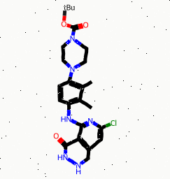 Cc1c(Nc2nc(Cl)cc3c2C(=O)NNC3)ccc(N2CCN(C(=O)OC(C)(C)C)CC2)c1C